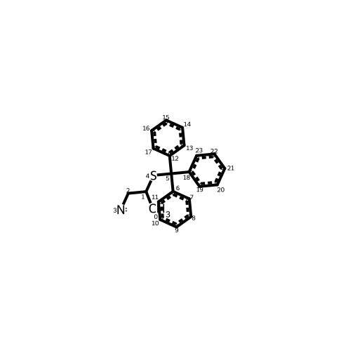 CC(C[N])SC(c1ccccc1)(c1ccccc1)c1ccccc1